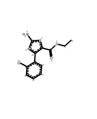 CCOC(=O)c1sc(N)nc1-c1ccccc1Cl